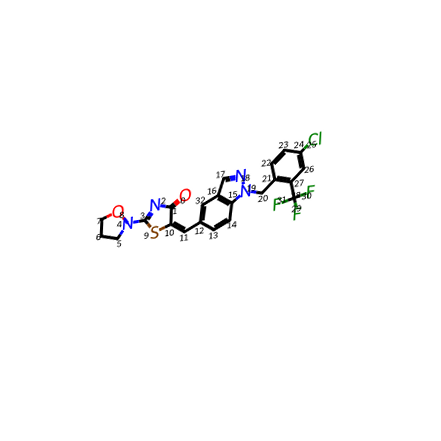 O=C1N=C(N2CCCO2)SC1=Cc1ccc2c(cnn2Cc2ccc(Cl)cc2C(F)(F)F)c1